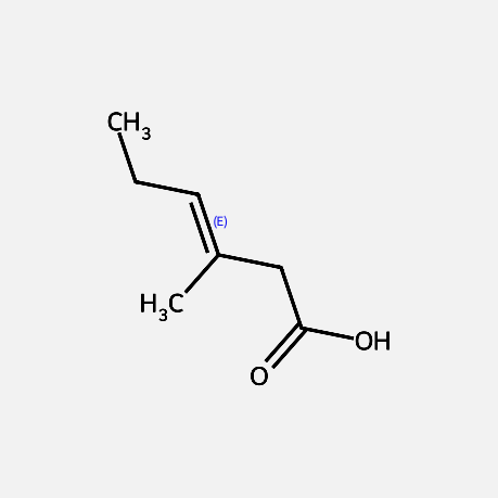 CC/C=C(\C)CC(=O)O